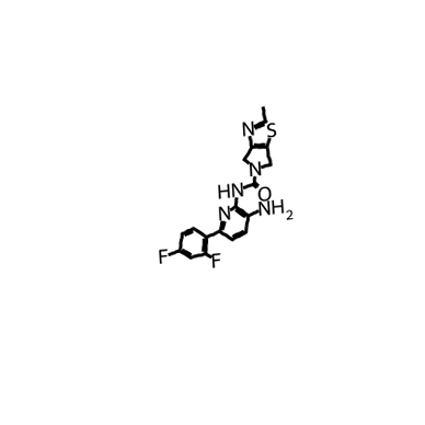 Cc1nc2c(s1)CN(C(=O)Nc1nc(-c3ccc(F)cc3F)ccc1N)C2